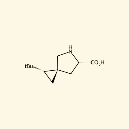 CC(C)(C)[C@H]1C[C@]12CN[C@H](C(=O)O)C2